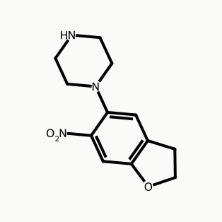 O=[N+]([O-])c1cc2c(cc1N1CCNCC1)CCO2